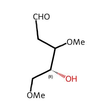 COC[C@@H](O)C(CC=O)OC